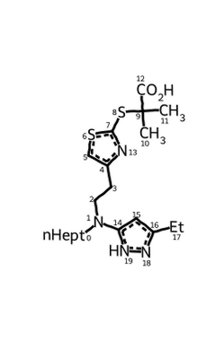 CCCCCCCN(CCc1csc(SC(C)(C)C(=O)O)n1)c1cc(CC)n[nH]1